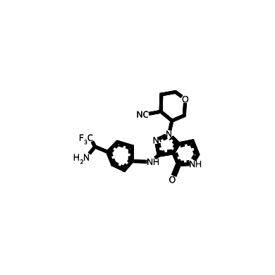 N#CC1CCOCC1n1nc(Nc2ccc(C(N)C(F)(F)F)cc2)c2c(=O)[nH]ccc21